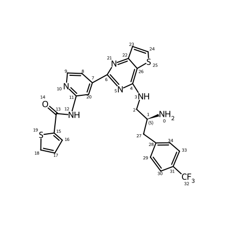 N[C@H](CNc1nc(-c2ccnc(NC(=O)c3cccs3)c2)nc2ccsc12)Cc1ccc(C(F)(F)F)cc1